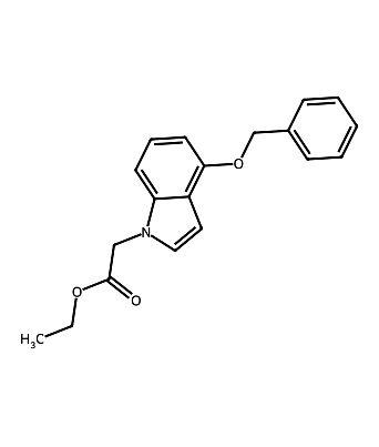 CCOC(=O)Cn1ccc2c(OCc3ccccc3)cccc21